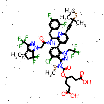 CSN(C(=O)OC(CCC(=O)O)CCC(=O)O)c1nn(CC(F)(F)F)c2c(-c3ccc(C#CC(C)(C)SC)nc3C(Cc3cc(F)cc(F)c3)NC(=O)Cn3nc(C(F)(F)F)c4c3C(F)(F)C[C@@H]4C)ccc(Cl)c12